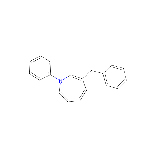 C1=CC(Cc2ccccc2)=CN(c2ccccc2)C=C1